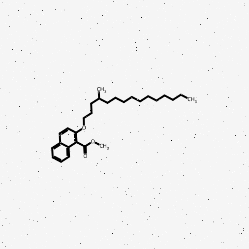 CCCCCCCCCCCC(C)CCCOc1ccc2ccccc2c1C(=O)OC